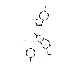 Cc1cc(C)c2c(Cn3c(=O)n([C@H](CC(=O)O)c4ccc(F)cc4)c4nc(C(N)=O)ccc43)cn(C)c2c1